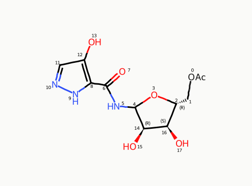 CC(=O)OC[C@H]1OC(NC(=O)c2[nH]ncc2O)[C@H](O)[C@@H]1O